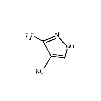 N#Cc1c[nH]nc1C(F)(F)F